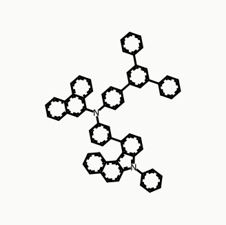 c1ccc(-c2cc(-c3ccccc3)cc(-c3ccc(N(c4cccc(-c5cccc6c5c5c7ccccc7ccc5n6-c5ccccc5)c4)c4cc5ccccc5c5ccccc45)cc3)c2)cc1